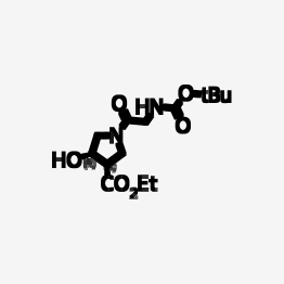 CCOC(=O)[C@@H]1CN(C(=O)CNC(=O)OC(C)(C)C)C[C@@H]1O